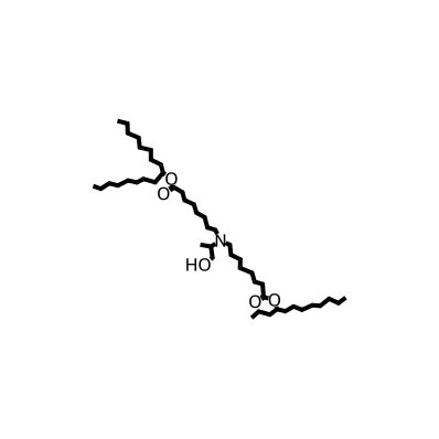 CCCCCCCCC(CCC)OC(=O)CCCCCCCN(CCCCCCCC(=O)OC(CCCCCCCC)CCCCCCCC)C(C)CO